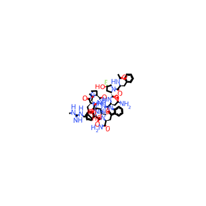 CNC(=N)NCCC[C@H](NC(=O)[C@H](CC(C)C)NC(=O)[C@@H]1CCN1C(=O)[C@H](Cc1ccccc1)NC(=O)[C@@H](NC(=O)[C@H](CC(N)=O)NC(=O)[C@@H]1C[C@](O)(F)CN1C(=O)[C@H](Cc1ccccc1)NC(C)=O)[C@@H](C)O)C(=O)N[C@@H](Cc1c[nH]c2ccccc12)C(N)=O